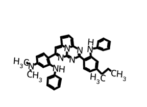 CCC(C)c1ccc(C2=NC3=CC=CC4=CC(c5ccc(N(C)C)cc5Nc5ccccc5)=NC(=N2)N43)c(Nc2ccccc2)c1